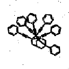 C(#CC1(C#Cc2ccccc2)C2CC3CC(c4ccccc4)(C2)C(C#Cc2ccccc2)(C#Cc2ccccc2)C1(C#Cc1ccccc1)C3)c1ccccc1